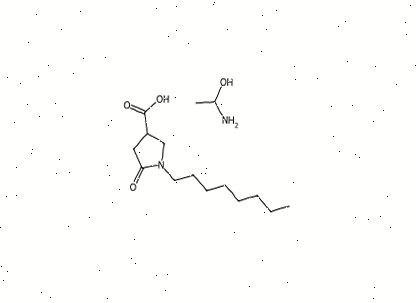 CC(N)O.CCCCCCCCN1CC(C(=O)O)CC1=O